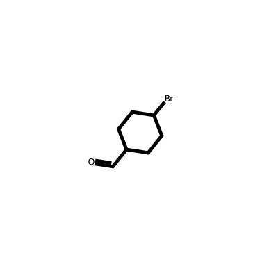 O=CC1CCC(Br)CC1